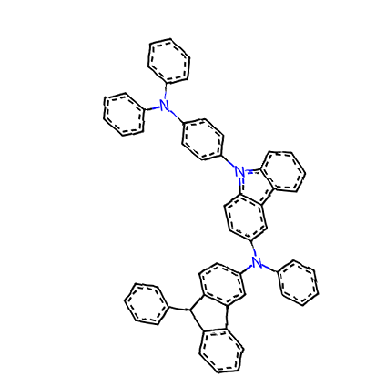 c1ccc(C2c3ccccc3-c3cc(N(c4ccccc4)c4ccc5c(c4)c4ccccc4n5-c4ccc(N(c5ccccc5)c5ccccc5)cc4)ccc32)cc1